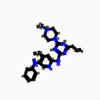 CCc1nc(Nc2cc(C)c(Nc3ccccc3)cn2)nc(N2CCN(C)CC2)n1